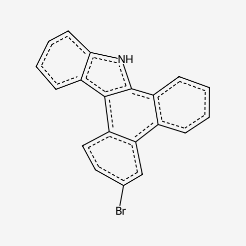 Brc1ccc2c(c1)c1ccccc1c1[nH]c3ccccc3c21